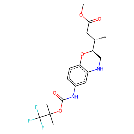 COC(=O)C[C@H](C)[C@H]1CNc2cc(NC(=O)OC(C)(C)C(F)(F)F)ccc2O1